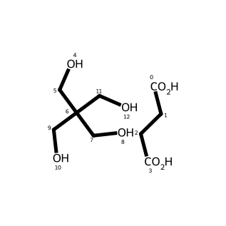 O=C(O)CCC(=O)O.OCC(CO)(CO)CO